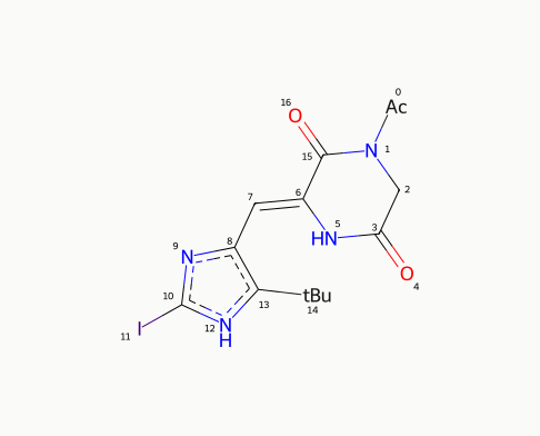 CC(=O)N1CC(=O)NC(=Cc2nc(I)[nH]c2C(C)(C)C)C1=O